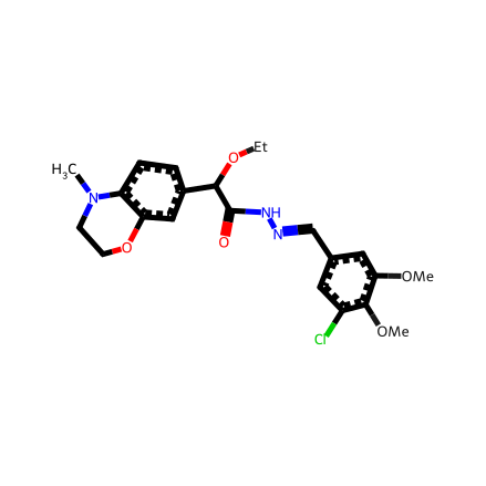 CCOC(C(=O)N/N=C/c1cc(Cl)c(OC)c(OC)c1)c1ccc2c(c1)OCCN2C